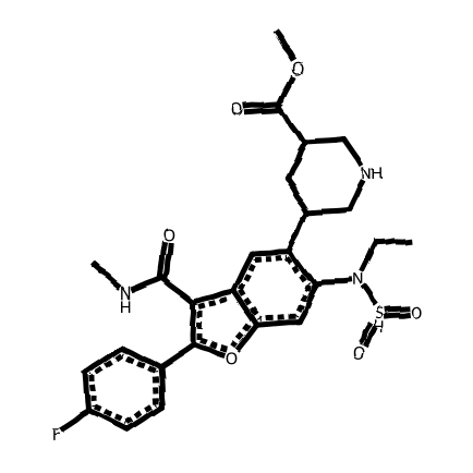 CCN(c1cc2oc(-c3ccc(F)cc3)c(C(=O)NC)c2cc1C1CNCC(C(=O)OC)C1)[SH](=O)=O